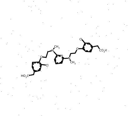 CN(CCOc1ccc(CC(=O)O)cc1Cl)c1cccc(N(C)CCOc2ccc(CC(=O)O)cc2Cl)n1